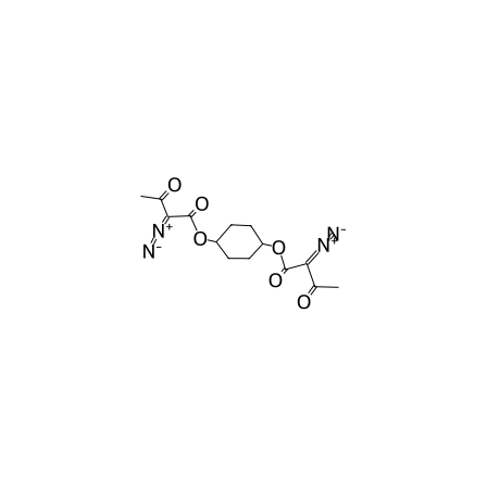 CC(=O)C(=[N+]=[N-])C(=O)OC1CCC(OC(=O)C(=[N+]=[N-])C(C)=O)CC1